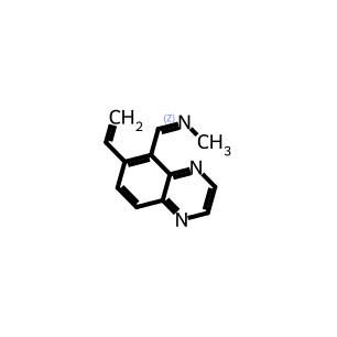 C=Cc1ccc2nccnc2c1/C=N\C